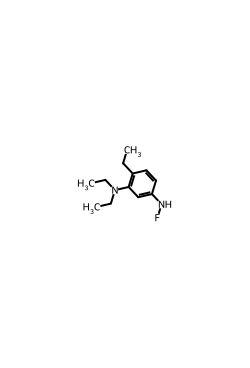 CCc1ccc(NF)cc1N(CC)CC